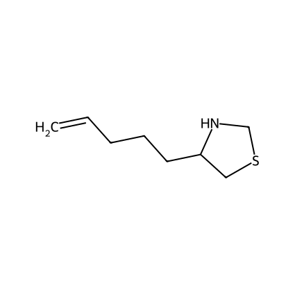 C=CCCCC1CSCN1